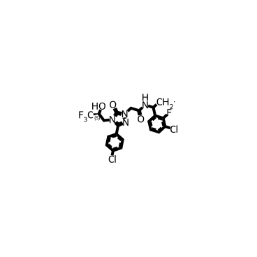 [CH2]C(NC(=O)Cn1nc(-c2ccc(Cl)cc2)n(C[C@H](O)C(F)(F)F)c1=O)c1cccc(Cl)c1F